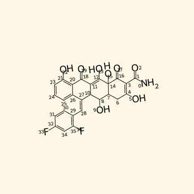 NC(=O)C1=C(O)CC2C(O)C3C(=C(O)C2(O)C1=O)C(=O)c1c(O)cccc1/C3=C\c1ccc(F)cc1F